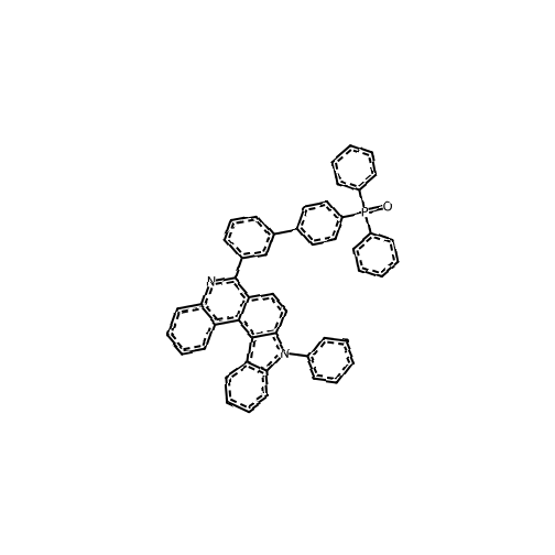 O=P(c1ccccc1)(c1ccccc1)c1ccc(-c2cccc(-c3nc4ccccc4c4c3ccc3c4c4ccccc4n3-c3ccccc3)c2)cc1